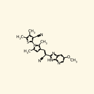 COc1cnc2[nH]c(/C(C#N)=C/c3cc(C)n(-c4sc(C)c(C)c4C#N)c3C)nc2c1